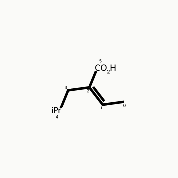 CC=C(CC(C)C)C(=O)O